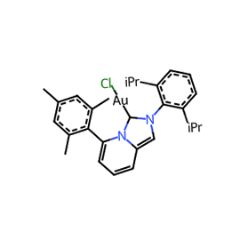 Cc1cc(C)c(C2=CC=CC3=CN(c4c(C(C)C)cccc4C(C)C)[CH]([Au][Cl])N32)c(C)c1